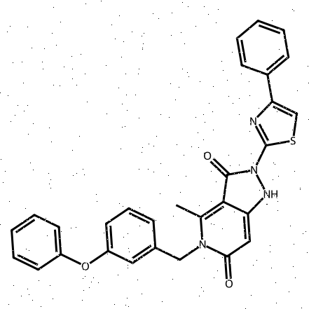 Cc1c2c(=O)n(-c3nc(-c4ccccc4)cs3)[nH]c2cc(=O)n1Cc1cccc(Oc2ccccc2)c1